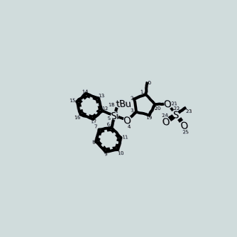 CC1CC(O[Si](c2ccccc2)(c2ccccc2)C(C)(C)C)CC1OS(C)(=O)=O